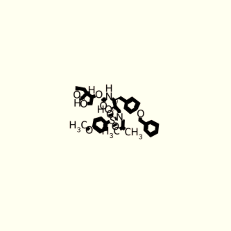 COc1ccc(S(=O)(=O)N(CC(C)C)C[C@@H](O)[C@H](Cc2ccc(OCc3ccccc3)cc2)NC(=O)OC2CO[C@H]3OCC[C@@H]23)cc1